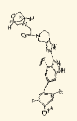 CCc1cc(O)c(F)cc1-c1cc(F)c2c(-c3nc4c([nH]3)CCN(C(=O)CN3C[C@H]5C[C@@H]3CO5)C4)n[nH]c2c1